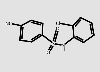 N#Cc1ccc(S(=O)(=O)Nc2ccccc2Cl)cc1